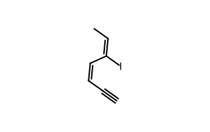 C#C/C=C\C(I)=C/C